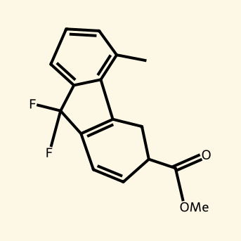 COC(=O)C1C=CC2=C(C1)c1c(C)cccc1C2(F)F